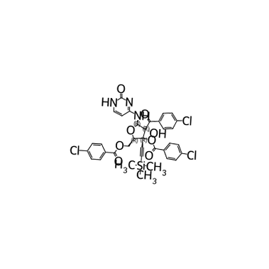 C[Si](C)(C)C#C[C@@]1(OC(=O)c2ccc(Cl)cc2)[C@@H](COC(=O)c2ccc(Cl)cc2)O[C@@H](Nc2cc[nH]c(=O)n2)[C@@]1(O)C(=O)c1ccc(Cl)cc1